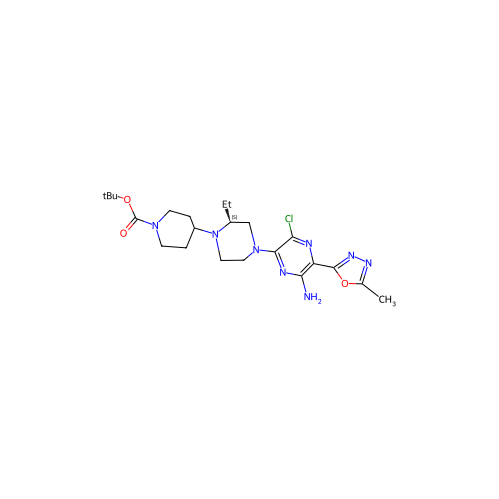 CC[C@H]1CN(c2nc(N)c(-c3nnc(C)o3)nc2Cl)CCN1C1CCN(C(=O)OC(C)(C)C)CC1